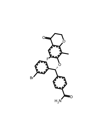 Cc1c(O[C@H](c2ccc(C(N)=O)cc2)c2cccc(Br)c2)c(F)cc2c1OCCC2=O